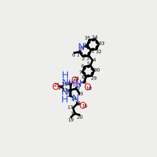 Cc1cc(Cc2ccc(C(=O)NC3CN(C(=O)CC(C)C)CC34NC(=O)NC4=O)cc2)c2ccccc2n1